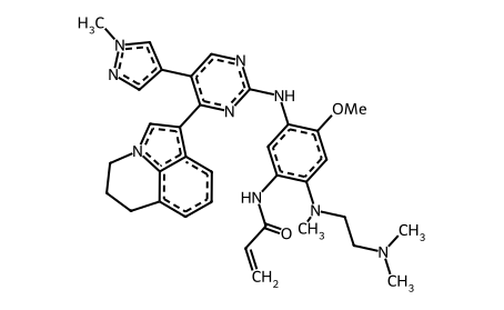 C=CC(=O)Nc1cc(Nc2ncc(-c3cnn(C)c3)c(-c3cn4c5c(cccc35)CCC4)n2)c(OC)cc1N(C)CCN(C)C